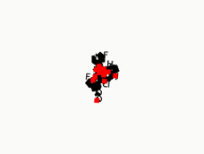 COCOc1cc(-c2c(Cl)c3c4c(nc(OC[C@@]56CCCN5C[C@H](F)C6)nc4c2F)N2C[C@H]4CC[C@@H]([C@H]2CC3)N4C(=O)OC(C)(C)C)c2c(C#C[Si](C(C)C)(C(C)C)C(C)C)c(F)ccc2c1